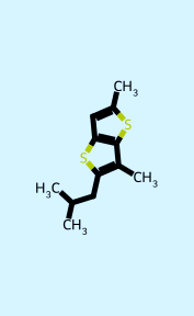 Cc1cc2sc(CC(C)C)c(C)c2s1